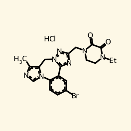 CCN1CCN(Cc2nc3n(n2)Cc2c(C)ncn2-c2ccc(Br)cc2-3)C(=O)C1=O.Cl